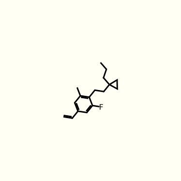 C=Cc1cc(C)c(CCC2(CCC)CC2)c(F)c1